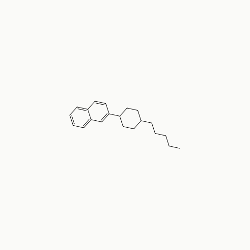 CCCCCC1CCC(c2ccc3ccccc3c2)CC1